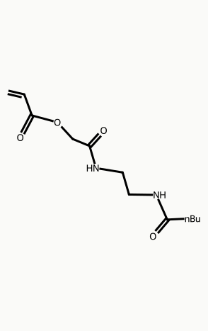 C=CC(=O)OCC(=O)NCCNC(=O)CCCC